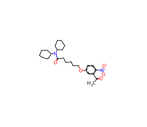 CC(=O)c1cc(OCCCCCC(=O)N(C2CCCCC2)C2CCCCC2)ccc1[N+](=O)[O-]